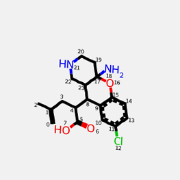 C=C(C)CC(C(=O)O)C1c2cc(Cl)ccc2OC2(N)CCNCC12